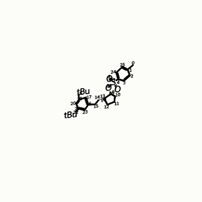 Cc1ccc(S(=O)(=O)O[C@@H]2CCC[C@@H]2CCc2cc(C(C)(C)C)cc(C(C)(C)C)c2)cc1